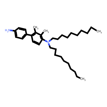 CCCCCCCCCCN(CCCCCCCCCC)c1ccc(-c2ccc(N)cc2)c(C)c1C